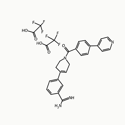 N=C(N)c1cccc(C2=CCN(C(=O)c3ccc(-c4ccncc4)cc3)CC2)c1.O=C(O)C(F)(F)F.O=C(O)C(F)(F)F